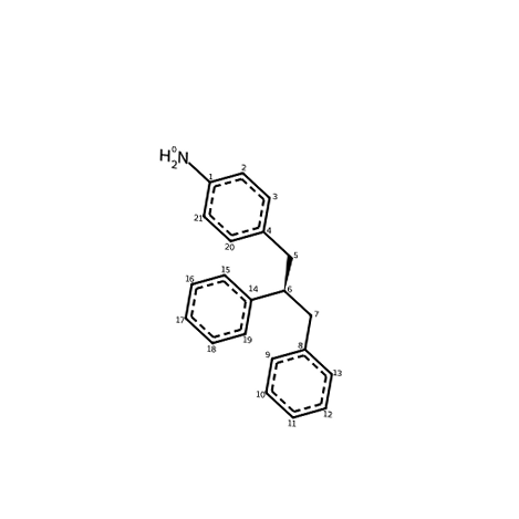 Nc1ccc(C[C@@H](Cc2ccccc2)c2ccccc2)cc1